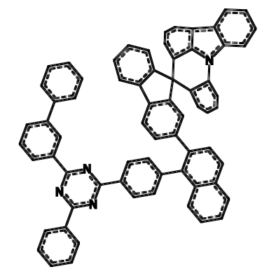 c1ccc(-c2cccc(-c3nc(-c4ccccc4)nc(-c4ccc(-c5c(-c6ccc7c(c6)C6(c8ccccc8-7)c7ccccc7-n7c8ccccc8c8cccc6c87)ccc6ccccc56)cc4)n3)c2)cc1